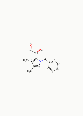 Cc1cn(Cc2ccccc2)c(C(=O)C=O)c1C